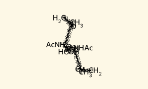 C=CCCCN(C)C(=O)CCCCCCCCCCC(CC1OC(CC(CCCCCCCCCCC(=O)N(C)CCCC=C)NC(C)=O)C(O)C1O)NC(C)=O